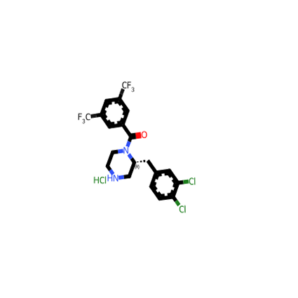 Cl.O=C(c1cc(C(F)(F)F)cc(C(F)(F)F)c1)N1CCNC[C@H]1Cc1ccc(Cl)c(Cl)c1